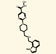 Cn1ccc2cccc(CNCC3CCN(c4ncc(C(=O)NO)cn4)CC3)c21